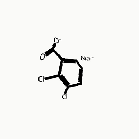 O=C([O-])c1cccc(Cl)c1Cl.[Na+]